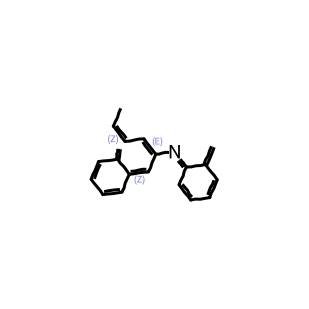 C=C1C=CC=CC1=NC(/C=c1/ccccc1=C)=C/C=C\C